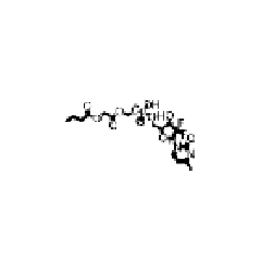 CCCC(=O)OCC(=O)OCOP(=O)(O)OCC1O[C@@H](n2ccc(C)nc2=O)C(F)(F)[C@@H]1O